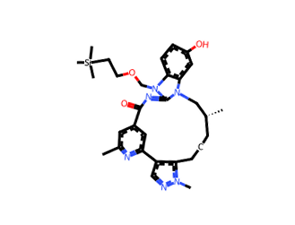 Cc1cc2cc(n1)-c1cnn(C)c1CCC[C@@H](C)CN1/C(=N/C2=O)N(COCC[Si](C)(C)C)c2ccc(O)cc21